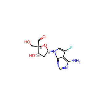 Nc1ncnc2c1c(F)cn2[C@H]1C[C@H](O)[C@@](C=O)(CO)O1